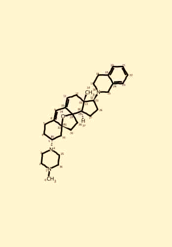 CN1CCN([C@@H]2CCC3=CC4=CC[C@]5(C)[C@@H](N6CCc7ccccc7C6)CC[C@H]5C45CC[C@]3(C2)O5)CC1